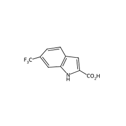 O=C(O)c1cc2ccc(C(F)(F)F)cc2[nH]1